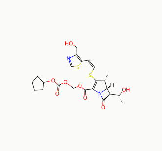 C[C@@H](O)[C@H]1C(=O)N2C(C(=O)OCOC(=O)OC3CCCC3)=C(S/C=C\c3scnc3CO)[C@H](C)[C@H]12